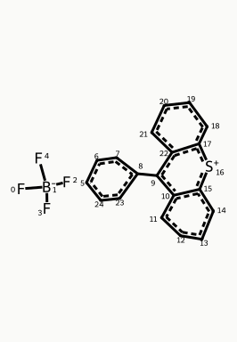 F[B-](F)(F)F.c1ccc(-c2c3ccccc3[s+]c3ccccc23)cc1